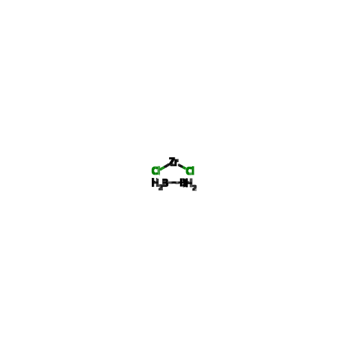 BB.[Cl][Zr][Cl]